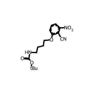 CC(C)(C)OC(=O)NCCCCOc1cccc([N+](=O)[O-])c1C#N